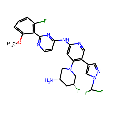 COc1cccc(F)c1-c1nccc(Nc2cc(N3C[C@@H](N)C[C@@H](F)C3)c(-c3cnn(C(F)F)c3)cn2)n1